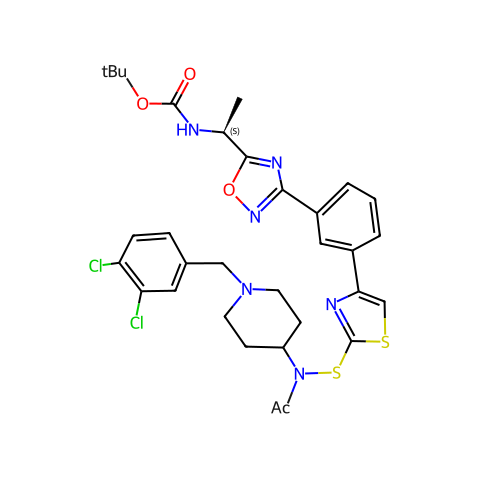 CC(=O)N(Sc1nc(-c2cccc(-c3noc([C@H](C)NC(=O)OC(C)(C)C)n3)c2)cs1)C1CCN(Cc2ccc(Cl)c(Cl)c2)CC1